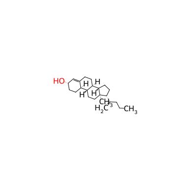 C=C(CCC)[C@H]1CC[C@H]2[C@@H]3CCC4=C[C@@H](O)CC[C@@H]4[C@H]3CC[C@]12C